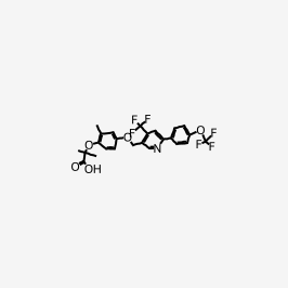 Cc1cc(OCc2cnc(-c3ccc(OC(F)(F)F)cc3)cc2C(F)(F)F)ccc1OC(C)(C)C(=O)O